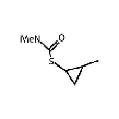 CNC(=O)SC1CC1C